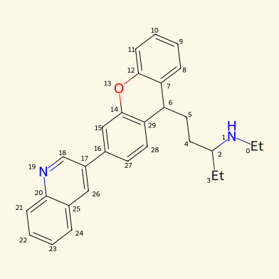 CCNC(CC)CCC1c2ccccc2Oc2cc(-c3cnc4ccccc4c3)ccc21